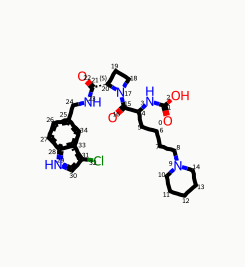 O=C(O)NC(CCCCN1CCCCC1)C(=O)N1CC[C@H]1C(=O)NCc1ccc2[nH]cc(Cl)c2c1